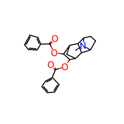 CN1C2CCC1C1C3CC(C(OC(=O)c4ccccc4)C3OC(=O)c3ccccc3)C12